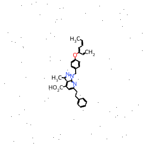 C=C/C(=C\C=C/C)Oc1ccc(Cn2nc(C)c3c(C(=O)O)cc(CCc4ccccc4)nc32)cc1